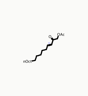 CCCCCCCCCCCCC/C=C/C(=O)COC(C)=O